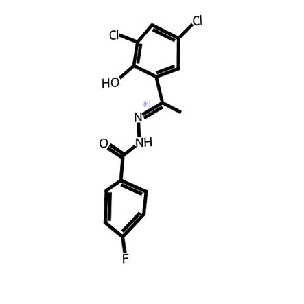 C/C(=N\NC(=O)c1ccc(F)cc1)c1cc(Cl)cc(Cl)c1O